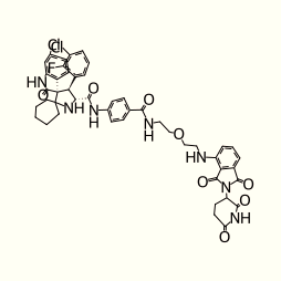 O=C1CCC(N2C(=O)c3cccc(NCCOCCNC(=O)c4ccc(NC(=O)[C@@H]5NC6(CCCCC6)[C@@]6(C(=O)Nc7cc(Cl)ccc76)[C@H]5c5cccc(Cl)c5F)cc4)c3C2=O)C(=O)N1